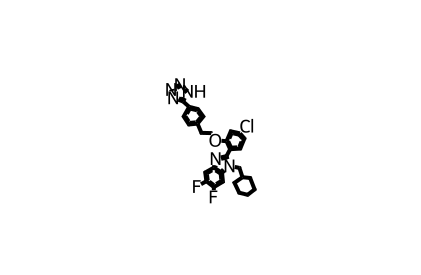 Fc1cc2nc(-c3ccc(Cl)cc3OCCc3ccc(-c4nnn[nH]4)cc3)n(CC3CCCCC3)c2cc1F